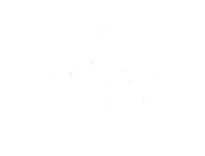 COn1c[n+](C)c2ccccc21.CS(=O)(=O)[O-]